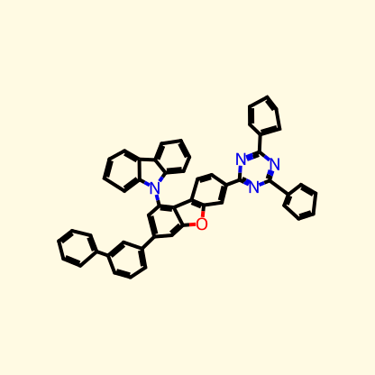 c1ccc(-c2cccc(-c3cc(-n4c5ccccc5c5ccccc54)c4c(c3)oc3cc(-c5nc(-c6ccccc6)nc(-c6ccccc6)n5)ccc34)c2)cc1